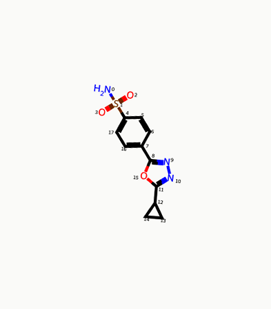 NS(=O)(=O)c1ccc(-c2nnc(C3CC3)o2)cc1